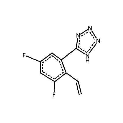 C=Cc1c(F)cc(F)cc1-c1nnn[nH]1